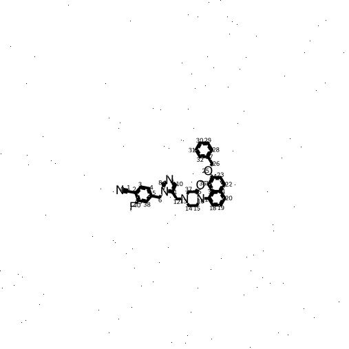 N#Cc1ccc(Cn2cncc2CN2CCN(c3cccc4ccc(OCc5ccccc5)cc34)C(=O)C2)cc1F